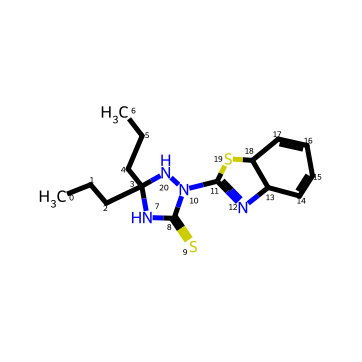 CCCC1(CCC)NC(=S)N(C2=NC3C=CC=CC3S2)N1